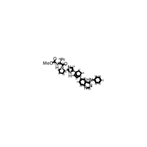 COC(=O)N[C@H](C(=O)N1CCC[C@H]1c1ncc([C@]23CC[C@](c4ccc5ncnc(Nc6ccccc6)c5c4)(CC2)C3)[nH]1)C(C)C